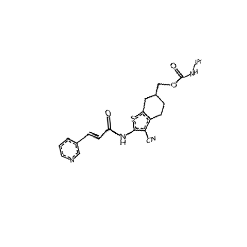 CC(C)NC(=O)OCC1CCc2c(sc(NC(=O)C=Cc3cccnc3)c2C#N)C1